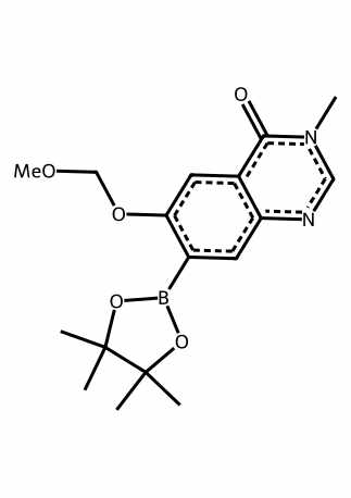 COCOc1cc2c(=O)n(C)cnc2cc1B1OC(C)(C)C(C)(C)O1